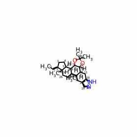 C/C=C1\CC[C@H]2[C@@H]3[C@H]4OC(C)(C)O[C@@H]4[C@H]4Cc5[nH]ncc5C[C@]4(C)[C@H]3CC[C@]12C